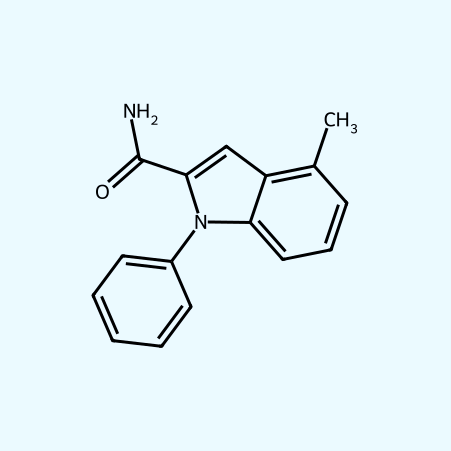 Cc1cccc2c1cc(C(N)=O)n2-c1ccccc1